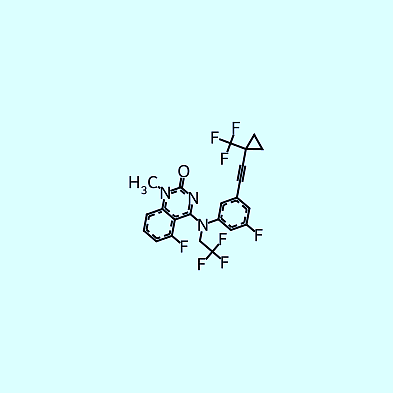 Cn1c(=O)nc(N(CC(F)(F)F)c2cc(F)cc(C#CC3(C(F)(F)F)CC3)c2)c2c(F)cccc21